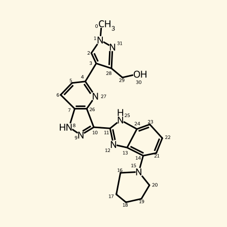 Cn1cc(-c2ccc3[nH]nc(-c4nc5c(N6CCCCC6)cccc5[nH]4)c3n2)c(CO)n1